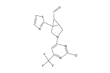 O=CC1C2CN(c3cc(C(F)(F)F)nc(Cl)n3)CC12c1nccs1